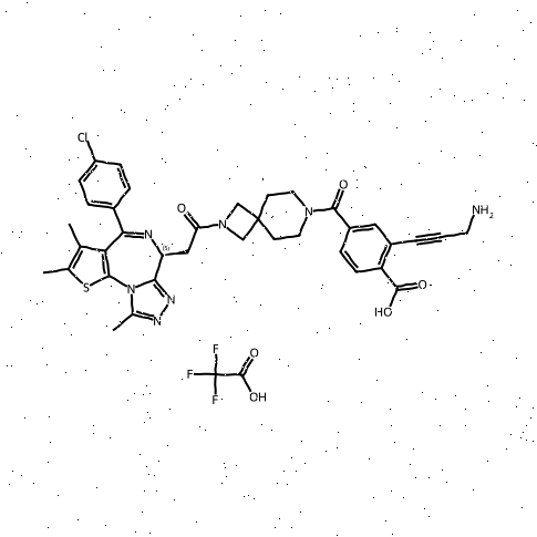 Cc1sc2c(c1C)C(c1ccc(Cl)cc1)=N[C@@H](CC(=O)N1CC3(CCN(C(=O)c4ccc(C(=O)O)c(C#CCN)c4)CC3)C1)c1nnc(C)n1-2.O=C(O)C(F)(F)F